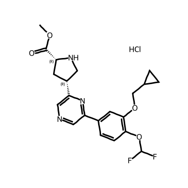 COC(=O)[C@H]1C[C@@H](c2cncc(-c3ccc(OC(F)F)c(OCC4CC4)c3)n2)CN1.Cl